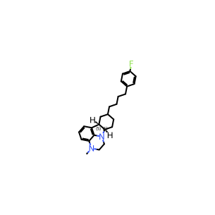 CN1CCN2c3c(cccc31)[C@@H]1CC(CCCCc3ccc(F)cc3)CC[C@@H]12